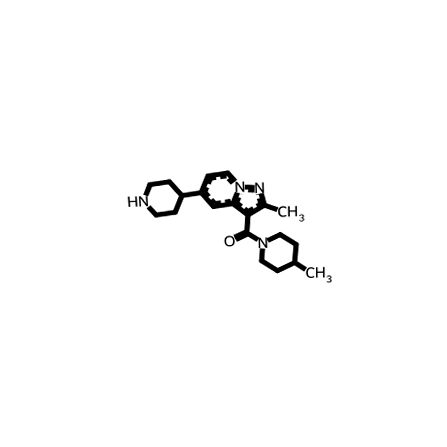 Cc1nn2ccc(C3CCNCC3)cc2c1C(=O)N1CCC(C)CC1